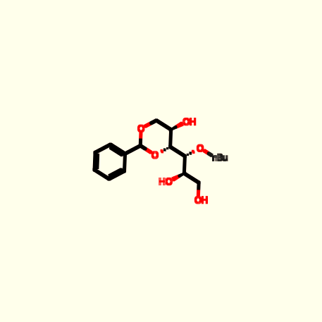 CCCCO[C@@H]([C@@H]1OC(c2ccccc2)OC[C@H]1O)[C@H](O)CO